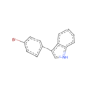 Brc1ccc(-c2c[nH]c3ccccc23)cc1